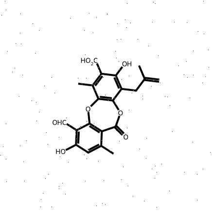 C=C(C)Cc1c(O)c(C(=O)O)c(C)c2c1OC(=O)c1c(C)cc(O)c(C=O)c1O2